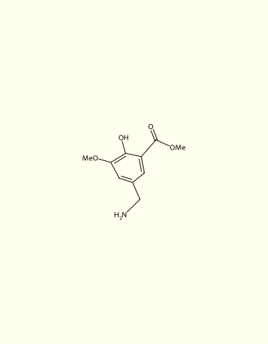 COC(=O)c1cc(CN)cc(OC)c1O